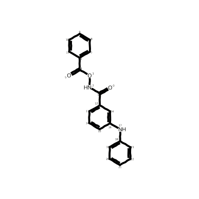 O=C(NOC(=O)c1ccccc1)c1cccc(Nc2ccccc2)c1